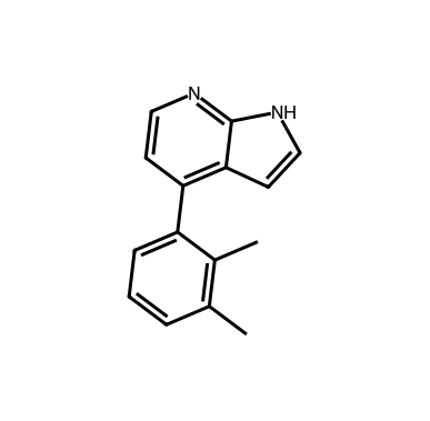 Cc1cccc(-c2ccnc3[nH]ccc23)c1C